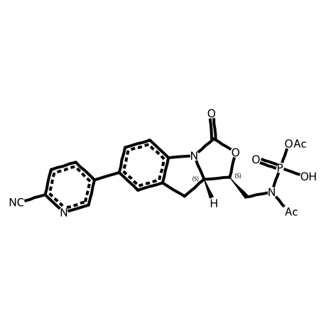 CC(=O)OP(=O)(O)N(C[C@@H]1OC(=O)N2c3ccc(-c4ccc(C#N)nc4)cc3C[C@@H]12)C(C)=O